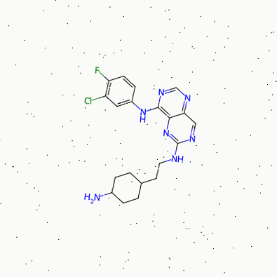 NC1CCC(CCNc2ncc3ncnc(Nc4ccc(F)c(Cl)c4)c3n2)CC1